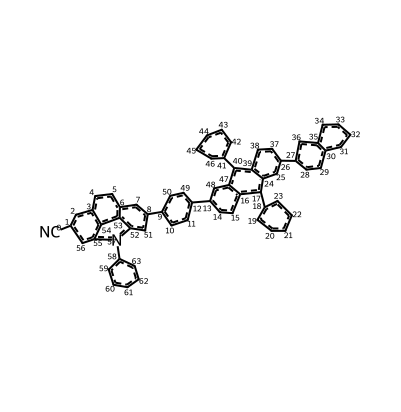 N#Cc1cc2ccc3cc(-c4ccc(-c5ccc6c(-c7ccccc7)c7cc(-c8ccc9ccccc9c8)ccc7c(-c7ccccc7)c6c5)cc4)cc4c3c2c(c1)n4-c1ccccc1